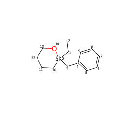 CC[Si]1(Cc2ccccc2)CCCCO1